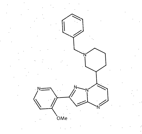 COc1ccncc1-c1cc2nccc(C3CCCN(Cc4ccccc4)C3)n2n1